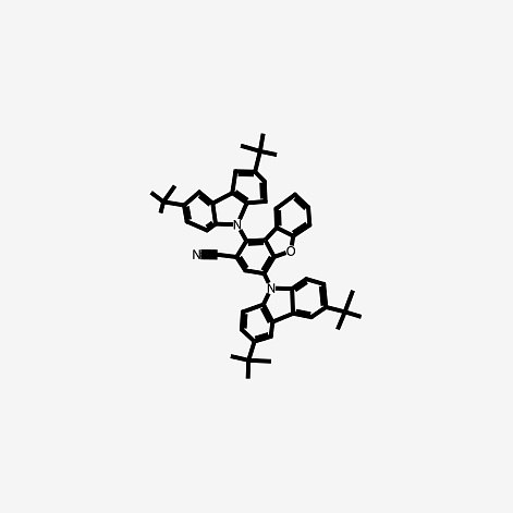 CC(C)(C)c1ccc2c(c1)c1cc(C(C)(C)C)ccc1n2-c1cc(C#N)c(-n2c3ccc(C(C)(C)C)cc3c3cc(C(C)(C)C)ccc32)c2c1oc1ccccc12